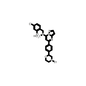 CCN1CCOC(c2ccc(-c3cc(N(Cc4ccc(Cl)cc4Cl)C(=O)O)n4nccc4n3)cc2)C1